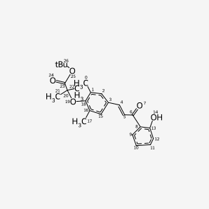 Cc1cc(/C=C/C(=O)c2ccccc2O)cc(C)c1OC(C)(C)C(=O)OC(C)(C)C